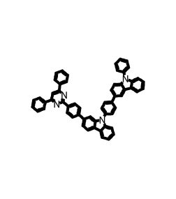 c1ccc(-c2cc(-c3ccccc3)nc(-c3ccc(-c4ccc5c6ccccc6n(-c6ccc(-c7ccc8c(c7)c7ccccc7n8-c7ccccc7)cc6)c5c4)cc3)n2)cc1